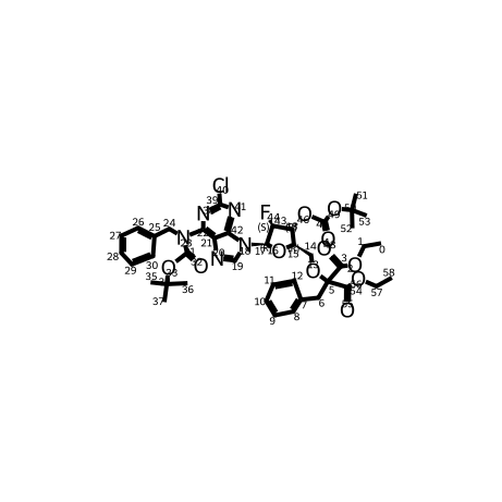 CCOC(=O)C(Cc1ccccc1)(OC[C@H]1O[C@@H](n2cnc3c(N(Cc4ccccc4)C(=O)OC(C)(C)C)nc(Cl)nc32)[C@@H](F)[C@@H]1OC(=O)OC(C)(C)C)C(=O)OCC